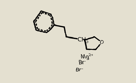 C1CCOC1.CCCc1ccccc1.[Br-].[Br-].[Mg+2]